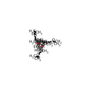 C=C(C)C(=O)OCCC[Si](C)(C)O[Si]1(CC)O[Si]2(CC)O[Si](CC)(O[Si](C)(C)CCCOC(=O)C(=C)C)O[Si]3(CC)O[Si](CC)(O[Si](C)(C)CCCOC(=O)C(=C)C)O[Si](CC)(O1)O[Si](CC)(O2)O3